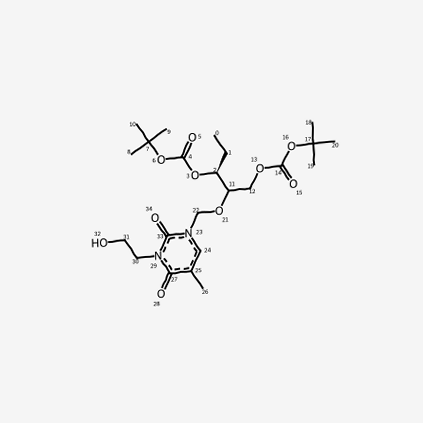 CC[C@H](OC(=O)OC(C)(C)C)C(COC(=O)OC(C)(C)C)OCn1cc(C)c(=O)n(CCO)c1=O